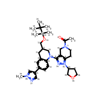 CC(=O)N1CCc2c(c(N3CC(CO[Si](C)(C)C(C)(C)C)Cc4cc(-c5cnn(C)c5)ccc43)nn2C2CCOC2)C1